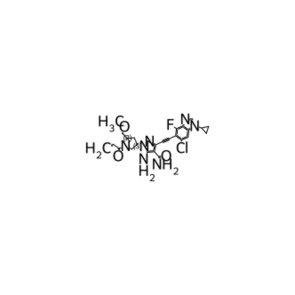 C=CC(=O)N1C[C@@H](n2nc(C#Cc3c(Cl)cc4c(ncn4C4CC4)c3F)c(C(N)=O)c2N)C[C@@H]1COC